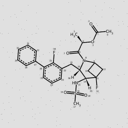 CC(=O)O[C@H](C)C(=O)N1C2CC(F)(C2)[C@H](NS(C)(=O)=O)[C@@H]1Cc1cccc(-c2ccccc2)c1F